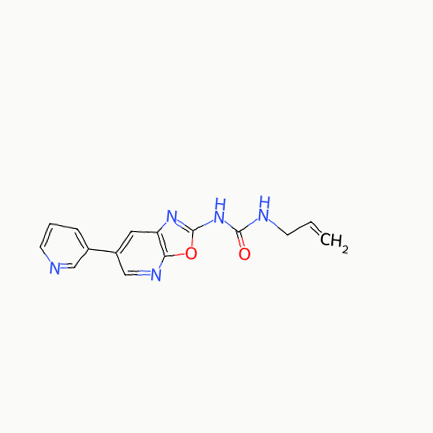 C=CCNC(=O)Nc1nc2cc(-c3cccnc3)cnc2o1